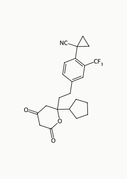 N#CC1(c2ccc(CCC3(C4CCCC4)CC(=O)CC(=O)O3)cc2C(F)(F)F)CC1